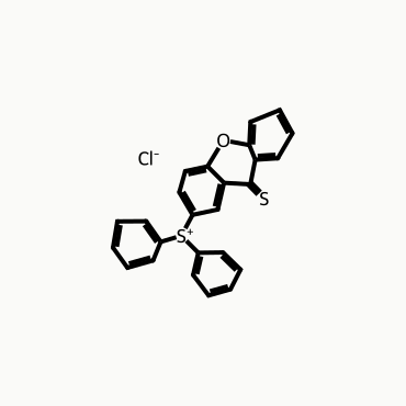 S=c1c2ccccc2oc2ccc([S+](c3ccccc3)c3ccccc3)cc12.[Cl-]